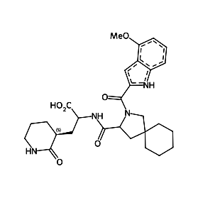 COc1cccc2[nH]c(C(=O)N3CC4(CCCCC4)CC3C(=O)NC(C[C@@H]3CCCNC3=O)C(=O)O)cc12